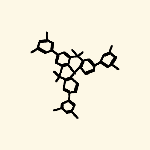 Cc1cc(C)cc(-c2ccc3c(c2)C(C)(C)c2cc(-c4cc(C)cc(C)c4)cc4c2N3c2ccc(-c3cc(C)cc(C)c3)cc2C4(C)C)c1